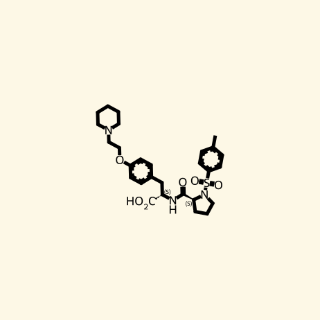 Cc1ccc(S(=O)(=O)N2CCC[C@H]2C(=O)N[C@@H](Cc2ccc(OCCN3CCCCC3)cc2)C(=O)O)cc1